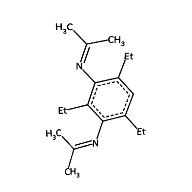 CCc1cc(CC)c(N=C(C)C)c(CC)c1N=C(C)C